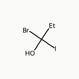 CCC(O)(Br)I